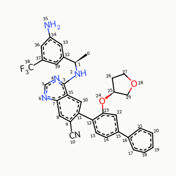 C[C@@H](Nc1ncnc2cc(C#N)c(-c3ccc(-c4ccccc4)cc3O[C@H]3CCOC3)cc12)c1cc(N)cc(C(F)(F)F)c1